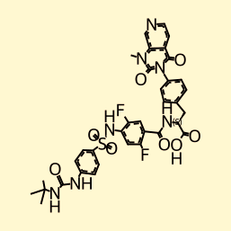 Cn1c(=O)n(-c2ccc(C[C@H](NC(=O)c3cc(F)c(NS(=O)(=O)c4ccc(NC(=O)NC(C)(C)C)cc4)cc3F)C(=O)O)cc2)c(=O)c2ccncc21